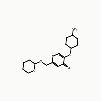 CC1CCC(Oc2coc(COC3CCCCO3)cc2=O)CC1